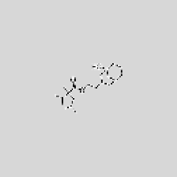 CC(C)CC(C)(C(=O)OCCC1CC2CCCC(O)(C2)C1)C(C)C